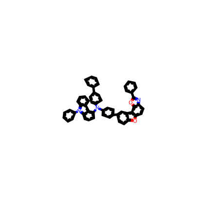 c1ccc(-c2ccc(N(c3ccc(-c4ccc5oc6ccc7nc(-c8ccccc8)oc7c6c5c4)cc3)c3cccc4c3c3ccccc3n4-c3ccccc3)cc2)cc1